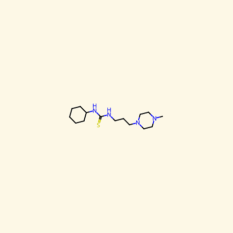 CN1CCN(CCCNC(=S)NC2CCCCC2)CC1